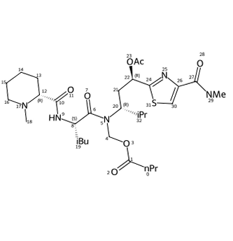 CCCC(=O)OCN(C(=O)[C@@H](NC(=O)[C@H]1CCCCN1C)C(C)CC)[C@H](C[C@@H](OC(C)=O)c1nc(C(=O)NC)cs1)C(C)C